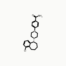 NC(=O)c1ccc(N2CCN([C@@H]3CCCCc4c(Cl)cccc43)CC2)cc1